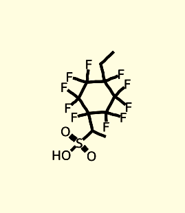 CCC1(F)C(F)(F)C(F)(F)C(F)(C(C)S(=O)(=O)O)C(F)(F)C1(F)F